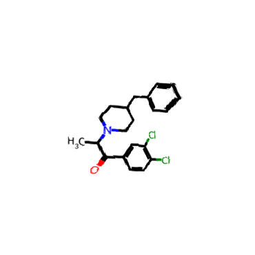 CC(C(=O)c1ccc(Cl)c(Cl)c1)N1CCC(Cc2ccccc2)CC1